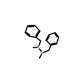 CN(Cc1ccccc1)N(C)Cc1ccccc1